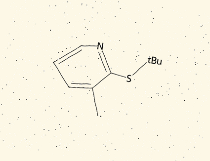 [CH2]c1cccnc1SC(C)(C)C